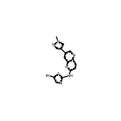 CC(C)c1cnc(Nc2ccc3ncc(-c4cnn(C)c4)cc3n2)s1